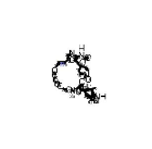 Cc1cc(C[C@H]2OC(=O)N3CCC4(CC3)OC(=O)Nc3ncc(cc34)/C=C/COCCOCCCN(C)C2=O)cc2cn[nH]c12